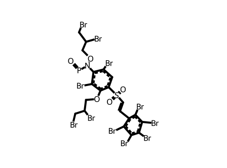 O=PN(OCC(Br)CBr)c1c(Br)cc(S(=O)(=O)C=Cc2c(Br)c(Br)c(Br)c(Br)c2Br)c(OCC(Br)CBr)c1Br